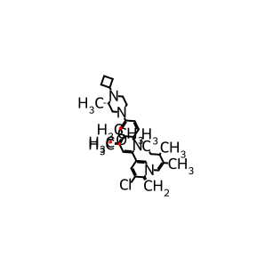 C=C1C(Cl)=CC(C(=C/C(C)=O)/N=C(/C=C\C(=C/C)N2CCN(C3CCC3)[C@@H](C)C2)C(C)CC)=CN1/C=C(/C)C(C)CC